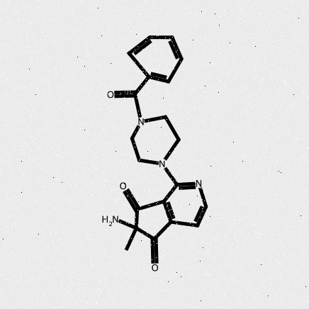 CC1(N)C(=O)c2ccnc(N3CCN(C(=O)c4ccccc4)CC3)c2C1=O